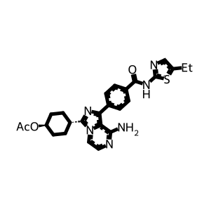 CCc1cnc(NC(=O)c2ccc(-c3nc([C@H]4CC[C@H](OC(C)=O)CC4)n4ccnc(N)c34)cc2)s1